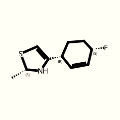 C[C@H]1NC([C@H]2C=C[C@@H](F)CC2)=CS1